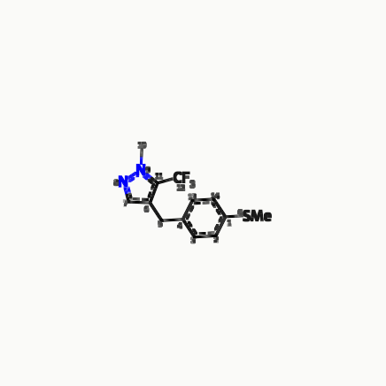 CSc1ccc(Cc2cnn(C)c2C(F)(F)F)cc1